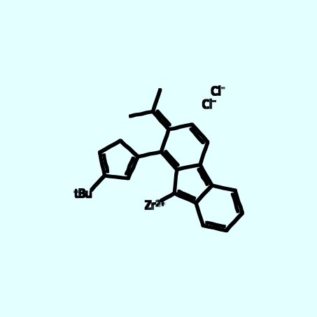 CC(C)=c1ccc2c(c1C1=CC(C(C)(C)C)=CC1)[C]([Zr+2])=c1ccccc1=2.[Cl-].[Cl-]